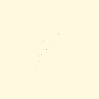 CC(C)OC(=O)[C@H](C)NP(=O)(Oc1ccccc1)O[C@@H](C)[C@H]1O[C@@H](n2cc(F)c(=O)[nH]c2=O)C(C)(F)[C@H]1O